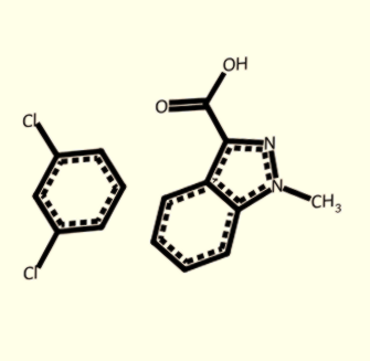 Clc1cccc(Cl)c1.Cn1nc(C(=O)O)c2ccccc21